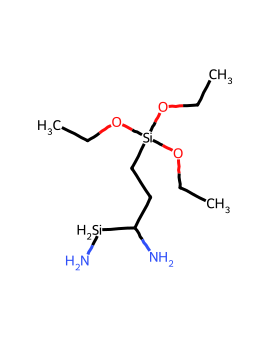 CCO[Si](CCC(N)[SiH2]N)(OCC)OCC